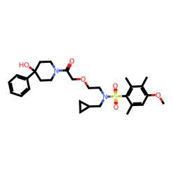 COc1cc(C)c(S(=O)(=O)N(CCOCC(=O)N2CCC(O)(c3ccccc3)CC2)CC2CC2)c(C)c1C